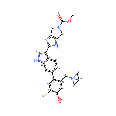 COC(=O)N1Cc2nc(-c3n[nH]c4cc(-c5cc(F)c(O)cc5C[N+]56CC5C6)ccc34)[nH]c2C1